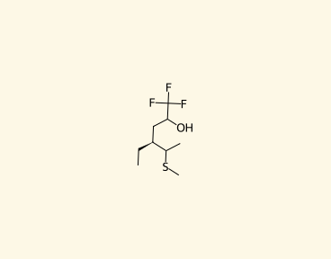 CC[C@@H](CC(O)C(F)(F)F)C(C)SC